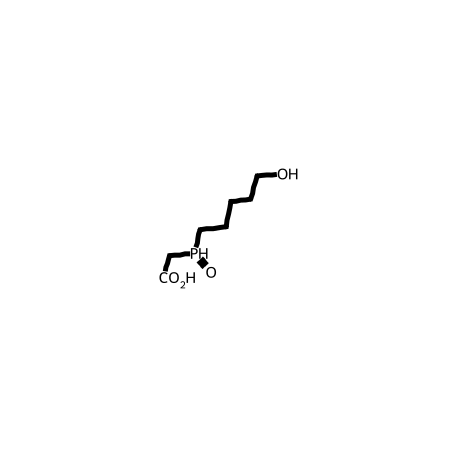 O=C(O)C[PH](=O)CCCCCO